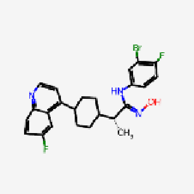 C[C@@H](/C(=N/O)Nc1ccc(F)c(Br)c1)C1CCC(c2ccnc3ccc(F)cc23)CC1